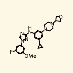 COc1cc(F)cc(-n2cnc(Nc3cc(C4CC4)cc(N4CCN(C5COC5)CC4)c3)n2)c1